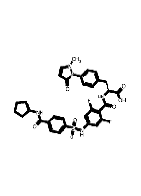 Cn1ccc(=O)n1-c1ccc(C[C@H](NC(=O)c2c(F)cc(NS(=O)(=O)c3ccc(C(=O)NC4CCCC4)cc3)cc2F)C(=O)O)cc1